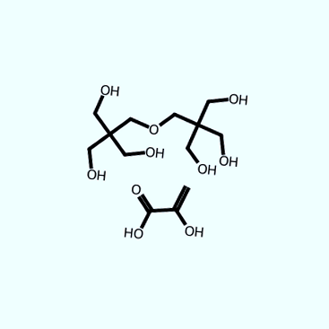 C=C(O)C(=O)O.OCC(CO)(CO)COCC(CO)(CO)CO